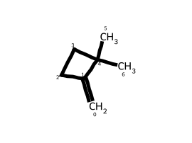 C=C1CCC1(C)C